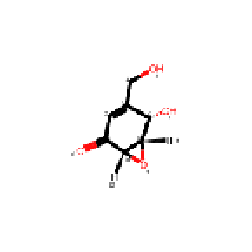 O=C1C=C(CO)[C@H](O)[C@@H]2O[C@H]12